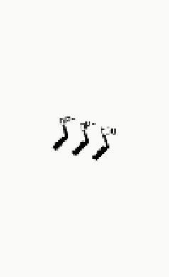 C=CC(C)(C)C.C=CCCC.C=CCCC